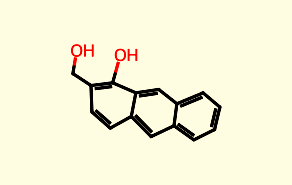 OCc1ccc2cc3ccccc3cc2c1O